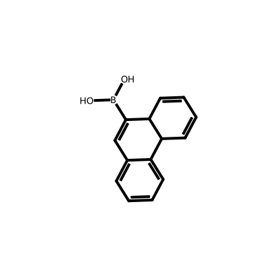 OB(O)C1=Cc2ccccc2C2C=CC=CC12